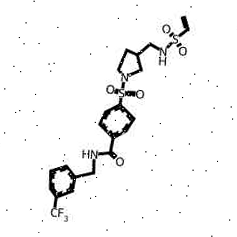 C=CS(=O)(=O)NCC1CCN(S(=O)(=O)c2ccc(C(=O)NCc3cccc(C(F)(F)F)c3)cc2)C1